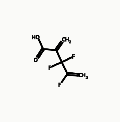 C=C(F)C(F)(F)C(=C)C(=O)O